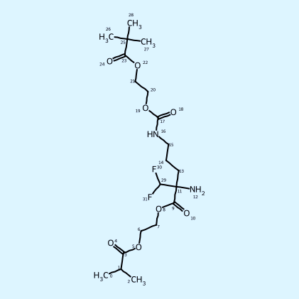 CC(C)C(=O)OCCOC(=O)C(N)(CCCNC(=O)OCCOC(=O)C(C)(C)C)C(F)F